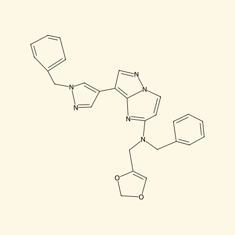 C1=C(CN(Cc2ccccc2)c2ccn3ncc(-c4cnn(Cc5ccccc5)c4)c3n2)OCO1